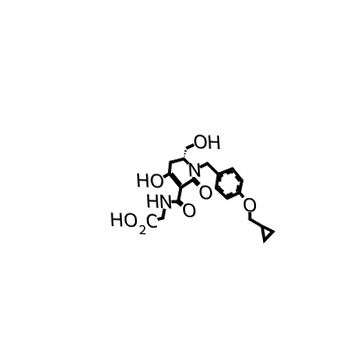 O=C(O)CNC(=O)C1=C(O)C[C@H](CO)N(Cc2ccc(OCC3CC3)cc2)C1=O